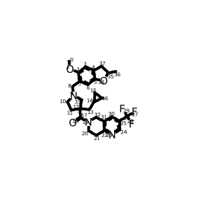 COc1cc2c(cc1CN1CCC(CC3CC3)(C(=O)N3CCc4ncc(C(F)(F)F)cc4C3)C1)OC(C)C2